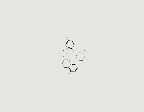 Cc1ccc(C)c(S(=O)(=O)N[C@@H]2CCc3c(C)ccc(N4CCN(C)CC4)c3C2)c1